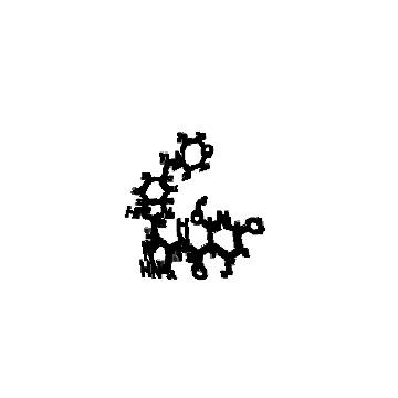 COc1nc(Cl)cc(C)c1C(=O)Nc1c[nH]nc1-c1nc2cc(CN3CCOCC3)ccc2[nH]1